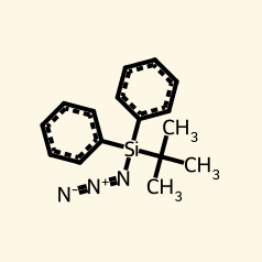 CC(C)(C)[Si](N=[N+]=[N-])(c1ccccc1)c1ccccc1